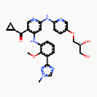 COc1c(Nc2cc(Nc3ccc(OC[C@@H](O)CO)cn3)ncc2C(=O)C2CC2)cccc1-c1ncn(C)n1